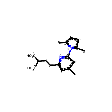 Cc1cc(CCC(C(=O)O)C(=O)O)nc(-n2c(C)ccc2C)c1